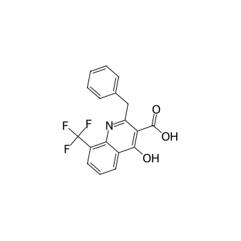 O=C(O)c1c(Cc2ccccc2)nc2c(C(F)(F)F)cccc2c1O